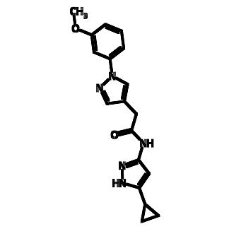 COc1cccc(-n2cc(CC(=O)Nc3cc(C4CC4)[nH]n3)cn2)c1